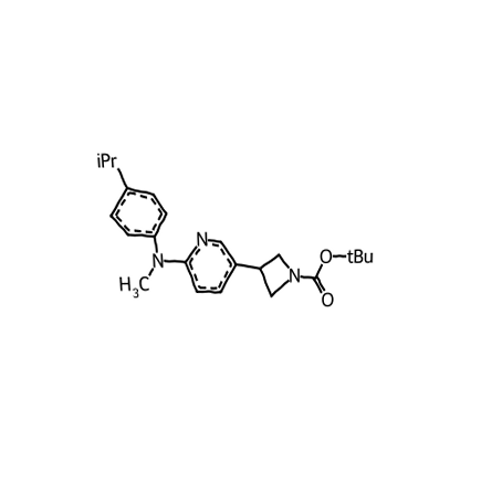 CC(C)c1ccc(N(C)c2ccc(C3CN(C(=O)OC(C)(C)C)C3)cn2)cc1